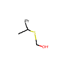 CC(C)C(C)SCO